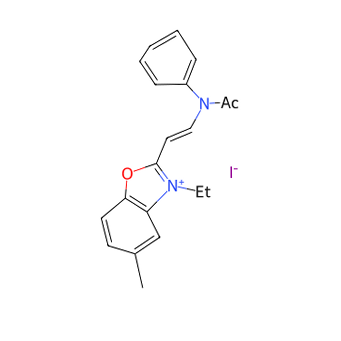 CC[n+]1c(C=CN(C(C)=O)c2ccccc2)oc2ccc(C)cc21.[I-]